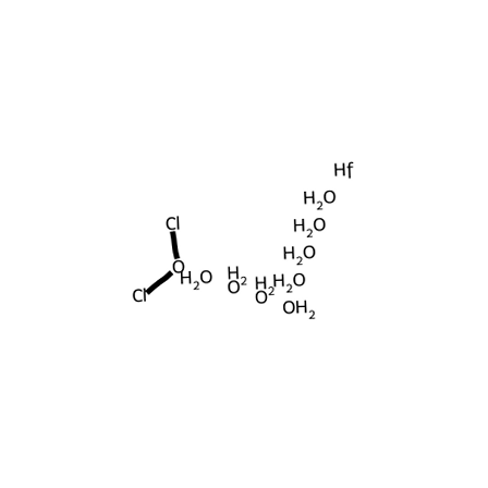 ClOCl.O.O.O.O.O.O.O.O.[Hf]